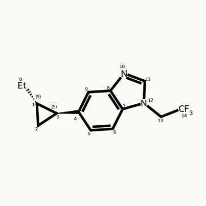 CC[C@H]1C[C@@H]1c1ccc2c(c1)ncn2CC(F)(F)F